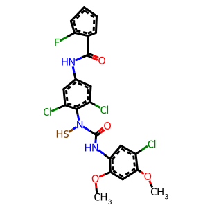 COc1cc(OC)c(NC(=O)N(S)c2c(Cl)cc(NC(=O)c3ccccc3F)cc2Cl)cc1Cl